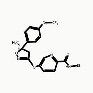 CCNC(=O)c1ccc(OC2=NO[C@@](C)(c3ccc(OC(F)(F)F)cc3)C2)cn1